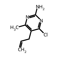 C=CCc1c(C)nc(N)nc1Cl